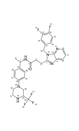 CC(NC(=O)CCc1nc2cccnc2n1Cc1ccc(F)c(F)c1)c1ccc(N2CCNC(C(F)(F)F)C2)cc1